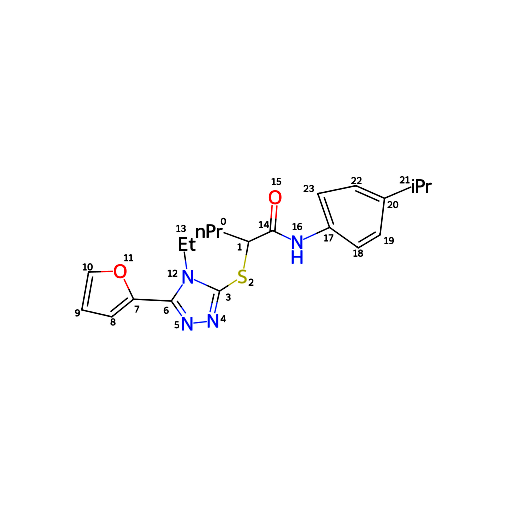 CCCC(Sc1nnc(-c2ccco2)n1CC)C(=O)Nc1ccc(C(C)C)cc1